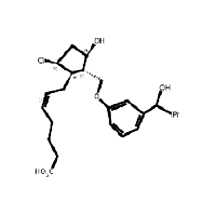 CC(C)C(O)c1cccc(OC[C@@H]2[C@@H](C/C=C\CCCC(=O)O)[C@@H](Cl)C[C@H]2O)c1